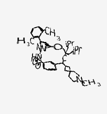 Cc1cccc(C)c1-c1cc2nc(n1)NS(=O)(=O)c1cccc(c1)C(C1CC3(CCN(C)CC3)C1)CC(CC(C)C)(CC(C)C)CO2